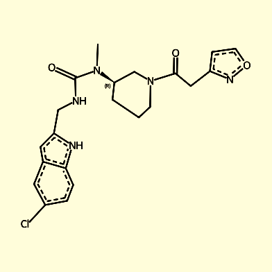 CN(C(=O)NCc1cc2cc(Cl)ccc2[nH]1)[C@@H]1CCCN(C(=O)Cc2ccon2)C1